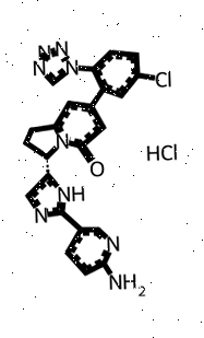 Cl.Nc1ccc(-c2ncc([C@@H]3CCc4cc(-c5cc(Cl)ccc5-n5cnnn5)cc(=O)n43)[nH]2)cn1